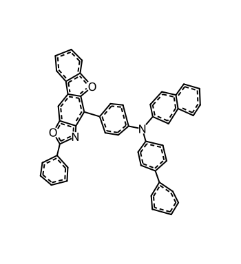 c1ccc(-c2ccc(N(c3ccc(-c4c5nc(-c6ccccc6)oc5cc5c4oc4ccccc45)cc3)c3ccc4ccccc4c3)cc2)cc1